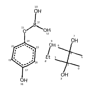 CC(C)(O)C(C)(C)O.CCO.OB(O)Oc1ccc(O)cc1